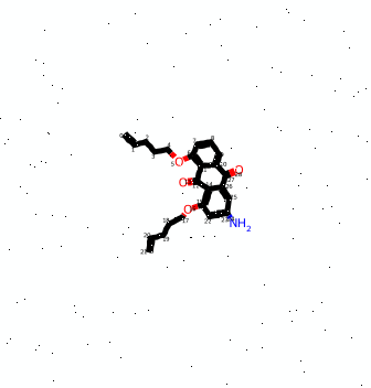 C=CCCCOc1cccc2c1C(=O)c1c(OCCCC=C)cc(N)cc1C2=O